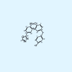 COc1ccc(Cc2ccc(F)cc2)cc1-c1cccc(-c2nnco2)c1